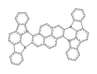 c1ccc2c(c1)B1c3cc4ccc5c6c(cc7ccc(c3-n3c8ccccc8c8ccc-2c1c83)c4c75)B1c2ccccc2-c2ccc3c4ccccc4n-6c3c21